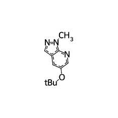 Cn1ncc2cc(OC(C)(C)C)cnc21